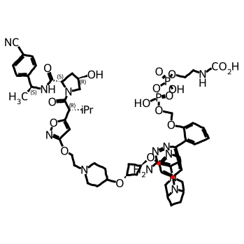 CC(C)[C@@H](C(=O)N1C[C@H](O)C[C@H]1C(=O)N[C@@H](C)c1ccc(C#N)cc1)c1cc(OCCN2CCC(O[C@H]3C[C@H](Oc4cc(N5C6CCC5CN(c5cc(-c7ccccc7OCOP(=O)(O)OP(=O)(O)OCCNC(=O)O)nnc5N)C6)ccn4)C3)CC2)no1